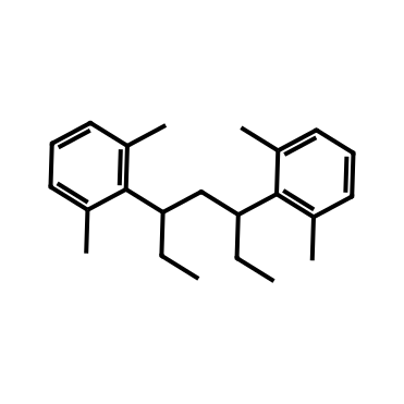 CCC(CC(CC)c1c(C)cccc1C)c1c(C)cccc1C